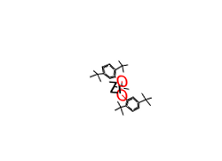 CC(C)(C)c1ccc(C(C)(C)C)c([O][Zr]([CH3])([CH3])[O]c2cc(C(C)(C)C)ccc2C(C)(C)C)c1